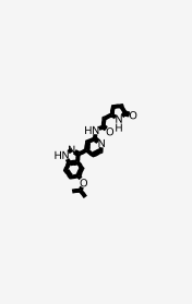 CC(C)Oc1ccc2[nH]nc(-c3ccnc(NC(=O)CC4CCC(=O)N4)c3)c2c1